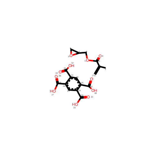 C=C(C)C(=O)OCC1CO1.O=C(O)c1cc(C(=O)O)c(C(=O)O)cc1C(=O)O